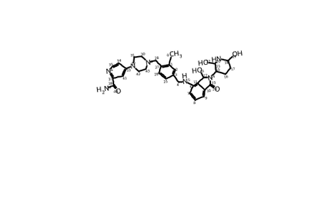 Cc1cc(CNc2cccc3c2C(O)N(C2CCC(O)NC2O)C3=O)ccc1CN1CCN(c2ccnc(C(N)=O)c2)CC1